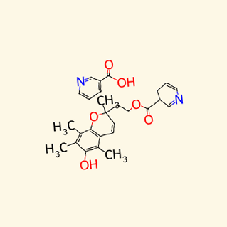 Cc1c(C)c2c(c(C)c1O)C=CC(C)(CCOC(=O)C1C=NC=CC1)O2.O=C(O)c1cccnc1